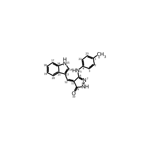 Cc1ccc(NC2=NNC(=O)C2=Cc2c[nH]c3ccccc23)cc1